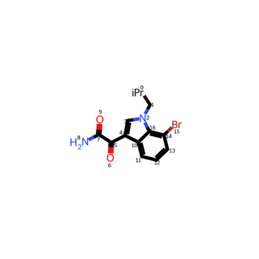 CC(C)Cn1cc(C(=O)C(N)=O)c2cccc(Br)c21